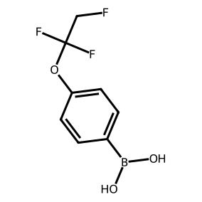 OB(O)c1ccc(OC(F)(F)CF)cc1